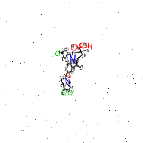 Cc1c(CC(C)(C)C(=O)O)n(Cc2ccc(Cl)cc2)c2ccc(OCc3ccc4cc(Cl)c(Cl)cc4n3)cc12